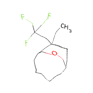 CC1(C(F)(F)F)CC2CCC1O2